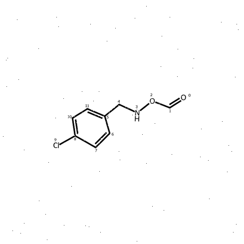 O=CONCc1ccc(Cl)cc1